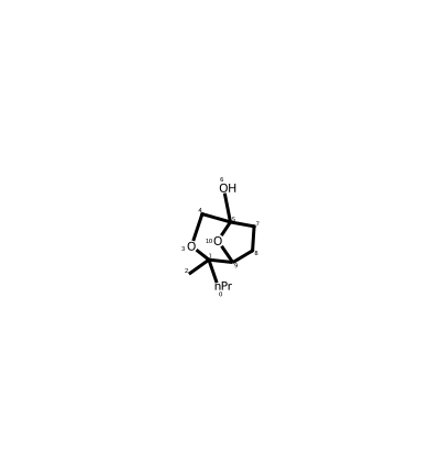 CCCC1(C)OCC2(O)CCC1O2